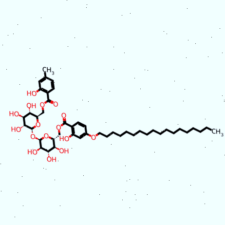 CCCCCCCCCCCCCCCCCCOc1ccc(C(=O)OC[C@H]2O[C@H](O[C@H]3O[C@H](COC(=O)c4ccc(C)cc4O)[C@@H](O)[C@H](O)[C@H]3O)[C@H](O)[C@@H](O)[C@@H]2O)c(O)c1